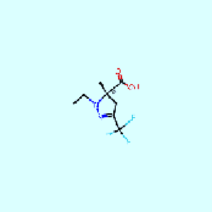 CCN1N=C(C(F)(F)F)C[C@@]1(C)C(=O)O